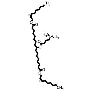 CCCCCC/C=C\COC(=O)CCCCCCCC(CCCCCCCC(=O)OC/C=C\CCCCCC)OC(=O)CCCN(C)C